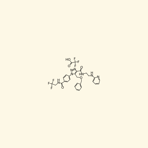 O=C(NCC(F)(F)F)c1ccc(-n2nnc(C(=O)NCCNc3ccccn3)c2COCc2ccccc2)cc1.O=C(O)C(F)(F)F